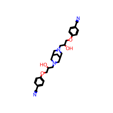 N#Cc1ccc(OCC(O)CN2CC3CC(C2)CN(CC(O)COc2ccc(C#N)cc2)C3)cc1